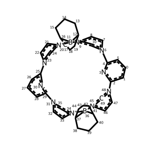 c1cc2nc(c1)-n1cc[n+](c1)[B-]1(C3CCCC1CCC3)[n+]1ccn(c1)-c1cccc(n1)-n1cc[n+](c1)[B-]1(C3CCCC1CCC3)[n+]1ccn-2c1